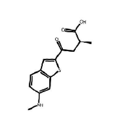 CNc1ccc2cc(C(=O)C[C@H](C)C(=O)O)sc2c1